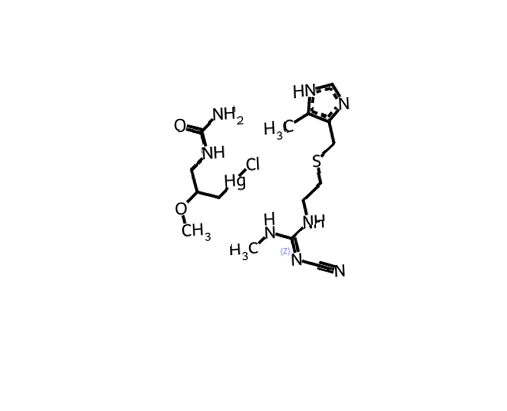 CN/C(=N/C#N)NCCSCc1nc[nH]c1C.COC(CNC(N)=O)[CH2][Hg][Cl]